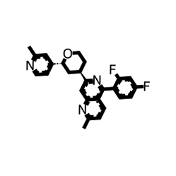 Cc1cc([C@H]2C[C@H](c3cc4nc(C)ccc4c(-c4ccc(F)cc4F)n3)CCO2)ccn1